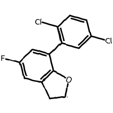 Fc1cc2c(c(-c3cc(Cl)ccc3Cl)c1)O[CH]C2